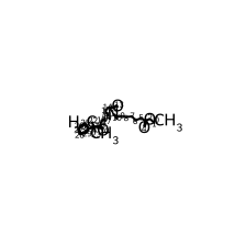 CCOC(=O)CCCCCCN1C(=O)CC[C@@H]1C=CC(=O)C(C)(C)c1ccccc1